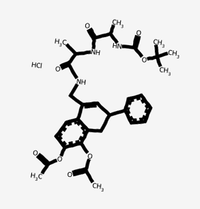 CC(=O)Oc1ccc2c(c1OC(C)=O)CC(c1ccccc1)C=C2CNC(=O)C(C)NC(=O)C(C)NC(=O)OC(C)(C)C.Cl